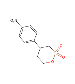 O=[N+]([O-])c1ccc(C2CCOS(=O)(=O)C2)cc1